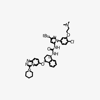 CN(C)CCOc1cc(-n2nc(C(C)(C)C)cc2NC(=O)N[C@H]2CC[C@@H](Oc3ccc4nnc(N5CCCCC5)n4c3)c3ccccc32)ccc1Cl